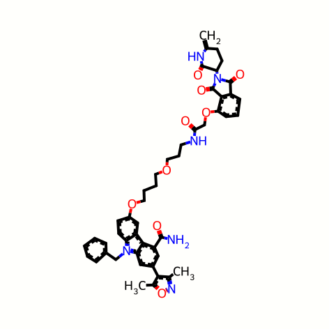 C=C1CCC(N2C(=O)c3cccc(OCC(=O)NCCCOCCCCOc4ccc5c(c4)c4c(C(N)=O)cc(-c6c(C)noc6C)cc4n5Cc4ccccc4)c3C2=O)C(=O)N1